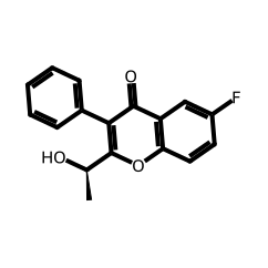 C[C@@H](O)c1oc2ccc(F)cc2c(=O)c1-c1ccccc1